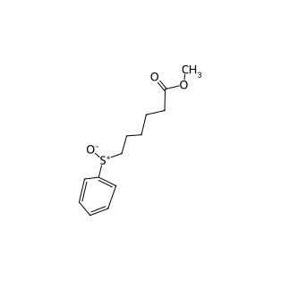 COC(=O)CCCCC[S+]([O-])c1ccccc1